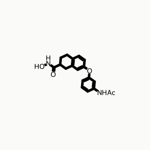 CC(=O)Nc1cccc(Oc2ccc3c(c2)CC(C(=O)NO)CC3)c1